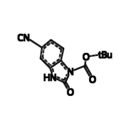 [C-]#[N+]c1ccc2c(c1)[nH]c(=O)n2C(=O)OC(C)(C)C